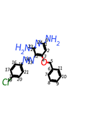 Nc1cc(OCc2ccccc2)c(/N=N/c2ccc(Cl)cc2)c(N)n1